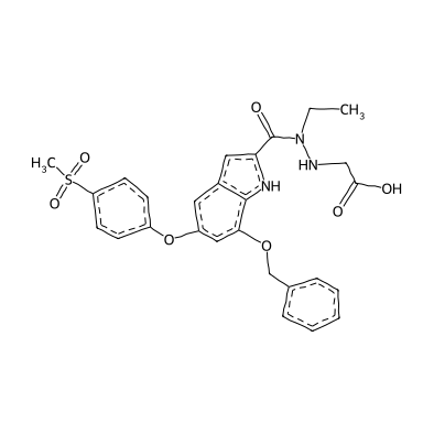 CCN(NCC(=O)O)C(=O)c1cc2cc(Oc3ccc(S(C)(=O)=O)cc3)cc(OCc3ccccc3)c2[nH]1